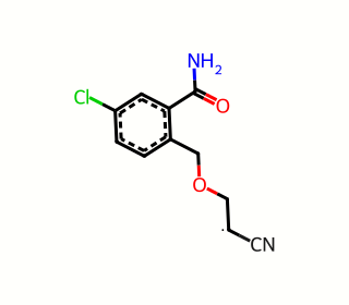 N#C[CH]COCc1ccc(Cl)cc1C(N)=O